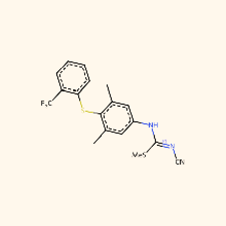 CS/C(=N\C#N)Nc1cc(C)c(Sc2ccccc2C(F)(F)F)c(C)c1